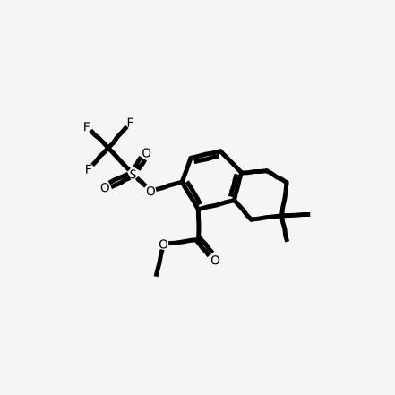 COC(=O)c1c(OS(=O)(=O)C(F)(F)F)ccc2c1CC(C)(C)CC2